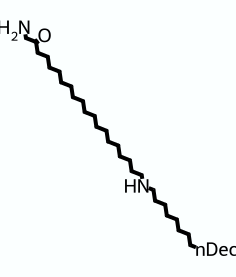 CCCCCCCCCCCCCCCCCCNCCCCCCCCCCCCCCCCCCC(=O)CN